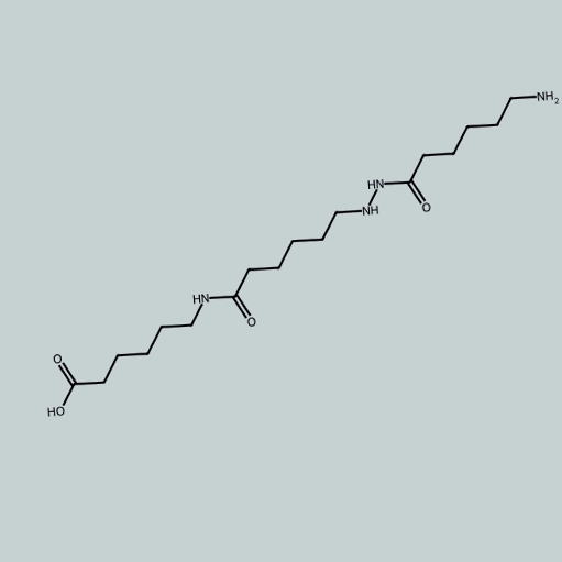 NCCCCCC(=O)NNCCCCCC(=O)NCCCCCC(=O)O